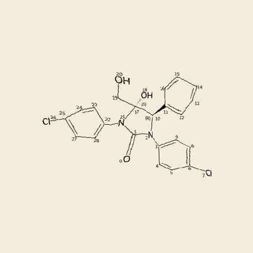 O=C1N(c2ccc(Cl)cc2)[C@H](c2ccccc2)[C@](O)(CO)N1c1ccc(Cl)cc1